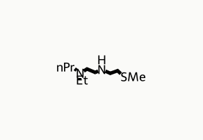 CCCN(CC)CCNCCSC